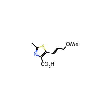 COC/C=C/c1sc(C)nc1C(=O)O